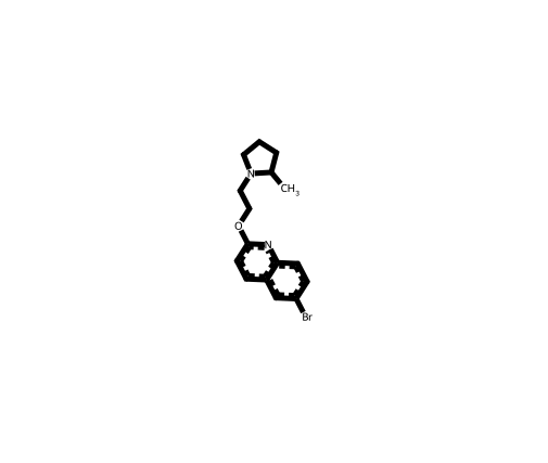 CC1CCCN1CCOc1ccc2cc(Br)ccc2n1